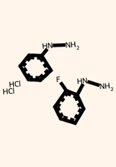 Cl.Cl.NNc1ccccc1.NNc1ccccc1F